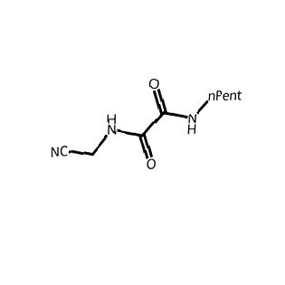 [CH2]CCCCNC(=O)C(=O)NCC#N